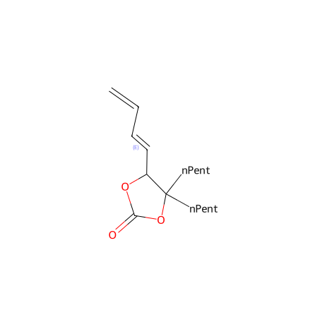 C=C/C=C/C1OC(=O)OC1(CCCCC)CCCCC